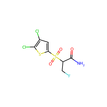 NC(=O)C(CF)S(=O)(=O)c1cc(Cl)c(Cl)s1